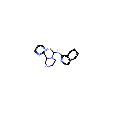 CCCC(Nc1nccc2ccccc12)N1CCNCC1c1ncccn1